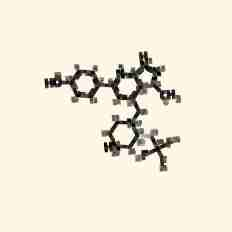 Cc1n[nH]c2nc(-c3ccc(O)cc3)cc(CN3CCNC[C@H]3CC(F)(F)F)c12